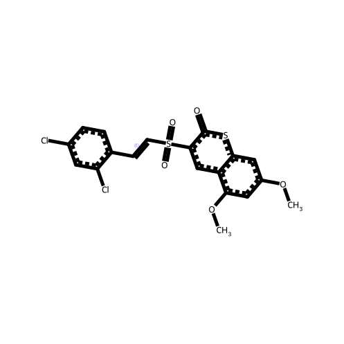 COc1cc(OC)c2cc(S(=O)(=O)/C=C/c3ccc(Cl)cc3Cl)c(=O)sc2c1